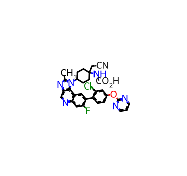 Cc1nc2cnc3cc(F)c(-c4ccc(Oc5ncccn5)cc4Cl)cc3c2n1C1CCC(CC#N)(NC(=O)O)CC1